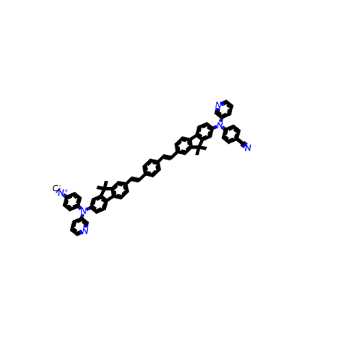 [C-]#[N+]c1ccc(N(c2cccnc2)c2ccc3c(c2)C(C)(C)c2cc(/C=C/c4ccc(/C=C/c5ccc6c(c5)C(C)(C)c5cc(N(c7ccc(C#N)cc7)c7cccnc7)ccc5-6)cc4)ccc2-3)cc1